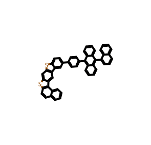 c1ccc2c(-c3c4ccccc4c(-c4ccc(-c5ccc6sc7cc8sc9ccc%10ccccc%10c9c8cc7c6c5)cc4)c4ccccc34)cccc2c1